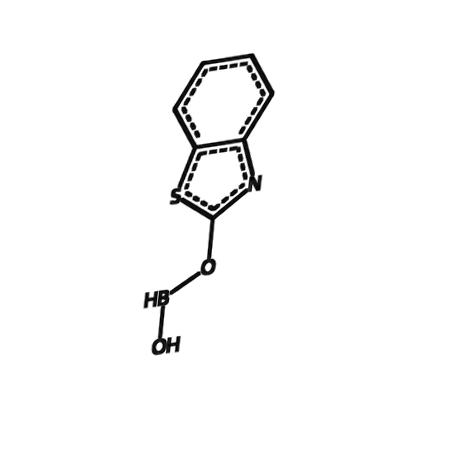 OBOc1nc2ccccc2s1